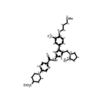 CCOC(=O)C1CCN(c2cnc(C(=O)Nc3nc(-c4ccc(OCCCOC)c(C(F)(F)F)c4)c(CN4CCC[C@H]4CC)s3)cn2)CC1